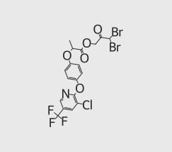 CC(Oc1ccc(Oc2ncc(C(F)(F)F)cc2Cl)cc1)C(=O)OCC(=O)C(Br)Br